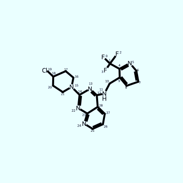 FC(F)(F)c1ncccc1CNc1nc(N2CCC(Cl)CC2)nc2ncccc12